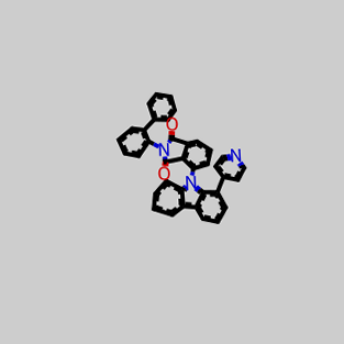 O=C1c2cccc(-n3c4ccccc4c4cccc(-c5ccncc5)c43)c2C(=O)N1c1ccccc1-c1ccccc1